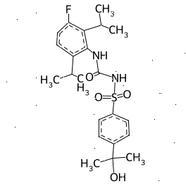 CC(C)c1ccc(F)c(C(C)C)c1NC(=O)NS(=O)(=O)c1ccc(C(C)(C)O)cc1